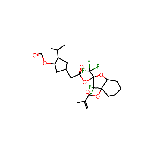 C=C(C)C(=O)OC12CCCCC1OC(OC(=O)CC1CC(OC=O)C(C(C)C)C1)(C(F)(F)F)C2(F)F